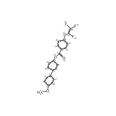 COc1ccc(-c2ccc(OC(=O)c3ccc(OC(F)=C(F)F)cc3)cc2)cc1